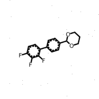 Fc1ccc(-c2ccc(C3OCCCO3)cc2)c(F)c1F